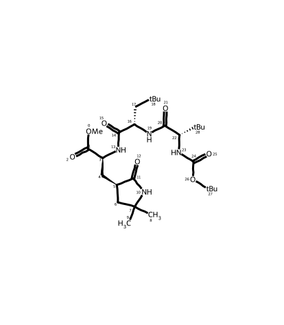 COC(=O)[C@H](C[C@@H]1CC(C)(C)NC1=O)NC(=O)[C@H](CC(C)(C)C)NC(=O)[C@@H](NC(=O)OC(C)(C)C)C(C)(C)C